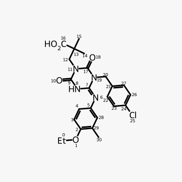 CCOc1ccc(/N=c2\[nH]c(=O)n(CC(C)(C)C(=O)O)c(=O)n2Cc2ccc(Cl)cc2)cc1C